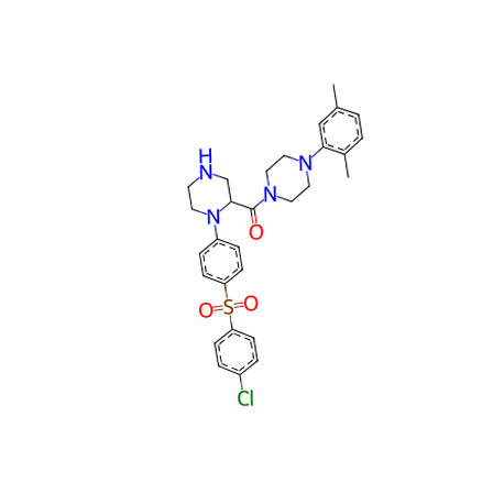 Cc1ccc(C)c(N2CCN(C(=O)C3CNCCN3c3ccc(S(=O)(=O)c4ccc(Cl)cc4)cc3)CC2)c1